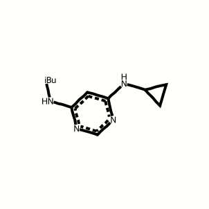 CCC(C)Nc1cc(NC2CC2)ncn1